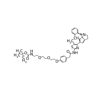 Cc1ccccc1[C@H]1N2CCC3=CC(c4nc(NC(=O)Cc5ccc(OCCOCCOCCNC(=O)OC(C)(C)C)cc5)sc4C)=CC312